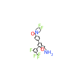 NCc1cc2cc(-c3ccc(C(=O)N4CCC(F)(F)CC4)cc3)cc(-c3cc(F)cc(C(F)(F)F)c3)c2o1